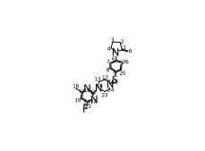 C=C1CCCN1c1ccc(SN2CCN(c3nc(C)cc(F)n3)CC2)cc1